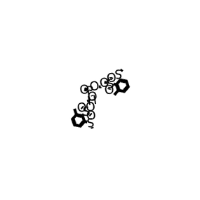 CSc1cccc(C)c1S(=O)(=O)OCO[PH](=O)OCOS(=O)(=O)c1c(C)cccc1SC